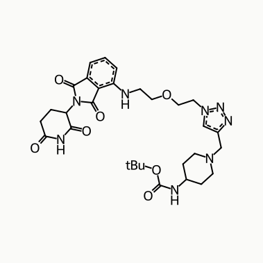 CC(C)(C)OC(=O)NC1CCN(Cc2cn(CCOCCNc3cccc4c3C(=O)N(C3CCC(=O)NC3=O)C4=O)nn2)CC1